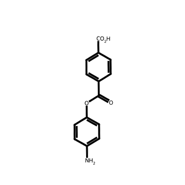 Nc1ccc(OC(=O)c2ccc(C(=O)O)cc2)cc1